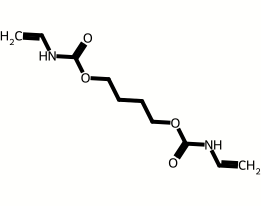 C=CNC(=O)OCCCCOC(=O)NC=C